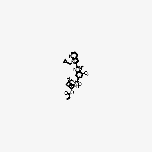 C=CC(=O)O[C@H]1C2C[C@@H]3CN(C(=O)c4cc(OC)c5c(c4)nc(-c4cc6cccnc6n4CC4CC4)n5C)[C@H]1[C@H]23